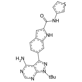 CC(C)(C)n1nc(-c2ccc3cc(C(=O)Nc4ccsc4)[nH]c3c2)c2c(N)ncnc21